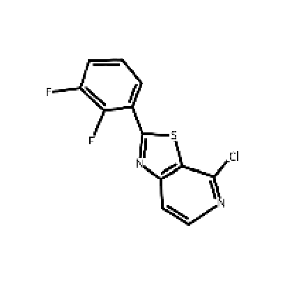 Fc1cccc(-c2nc3ccnc(Cl)c3s2)c1F